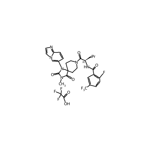 CC(C)[C@@H](NC(=O)c1cc(C(F)(F)F)ccc1F)C(=O)N1CCC2(CC1)C(=O)N(C)C(=O)N2c1ccc2nccn2c1.O=C(O)C(F)(F)F